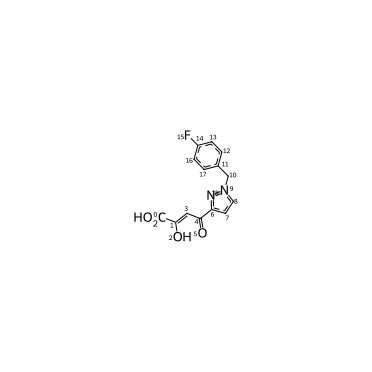 O=C(O)C(O)=CC(=O)c1ccn(Cc2ccc(F)cc2)n1